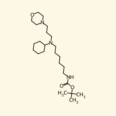 CC(C)(C)OC(=O)NCCCCCCN(CCCN1CCOCC1)C1CCCCC1